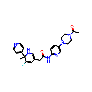 CC(=O)N1CCN(c2ccc(NC(=O)CC3=CNC(C)(c4ccncc4)C(F)=C3)nc2)CC1